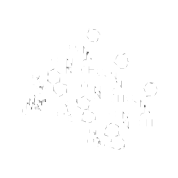 CC1=NN(c2ccccc2)C(=O)C1N=Nc1c([O-])cc(S(=O)(=O)[O-])c2ccccc12.CC1=NN(c2ccccc2)C(=O)C1N=Nc1c([O-])cc(S(=O)(=O)[O-])c2ccccc12.CC1=NN(c2ccccc2)C(=O)C1N=Nc1c([O-])cc(S(=O)(=O)[O-])c2ccccc12.[Cr+3].[Na+].[Na+].[Na+]